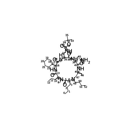 CCCC[C@H]1C(=O)N(C)[C@@H](CCC)C(=O)N[C@@H](C2CCCCC2)C(=O)N[C@@H](CNC(=O)OC(C)(C)C)C(=O)N[C@H](CN)C(=O)N[C@@H](C)CN1CCCC